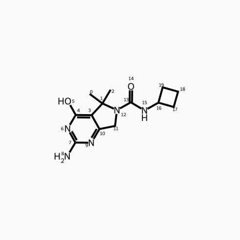 CC1(C)c2c(O)nc(N)nc2CN1C(=O)NC1CCC1